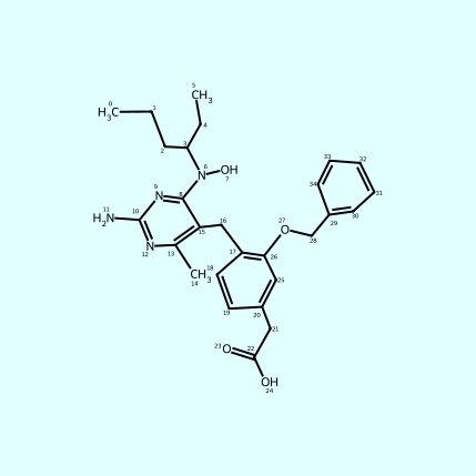 CCCC(CC)N(O)c1nc(N)nc(C)c1Cc1ccc(CC(=O)O)cc1OCc1ccccc1